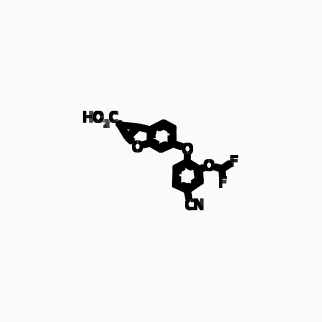 N#Cc1ccc(Oc2ccc3c(c2)OC2C(C(=O)O)C32)c(OC(F)F)c1